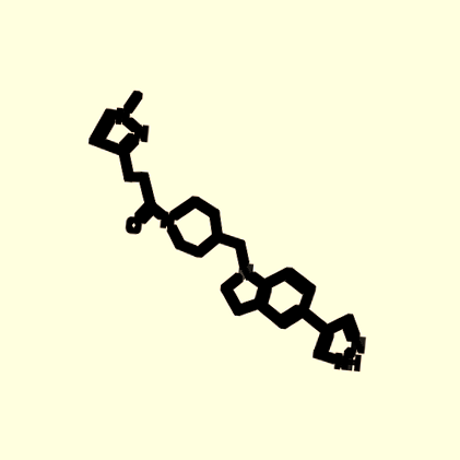 Cn1ccc(CCC(=O)N2CCC(CN3CCc4cc(-c5cn[nH]c5)ccc43)CC2)n1